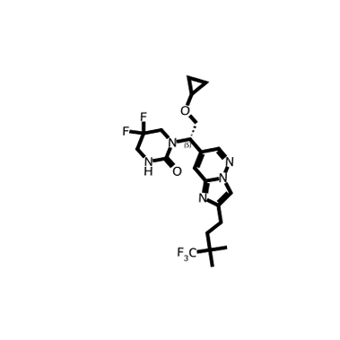 CC(C)(CCc1cn2ncc([C@@H](COC3CC3)N3CC(F)(F)CNC3=O)cc2n1)C(F)(F)F